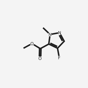 COC(=O)c1c(F)cnn1C